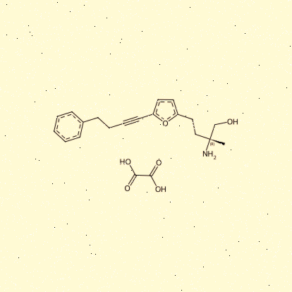 C[C@](N)(CO)CCc1ccc(C#CCCc2ccccc2)o1.O=C(O)C(=O)O